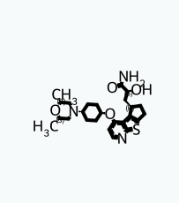 C[C@@H]1CN([C@H]2CC[C@H](Oc3ccnc4sc5c(c34)[C@@H](C[C@H](O)C(N)=O)CC5)CC2)C[C@H](C)O1